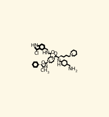 C[C@@H]1N=C(N2CCN(C(=O)[C@@H](CCCCN3CCCCC3)NC3CCC(CN)CC3)[C@H](C(=O)NCc3ccc4[nH]cc(Cl)c4c3)C2)O[C@H]1c1ccccc1